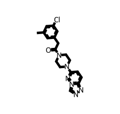 Cc1cc(Cl)cc(CC(=O)N2CCN(c3ccc4nncn4n3)CC2)c1